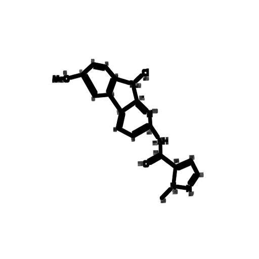 COc1ccc2c(c1)c1ccc(NC(=O)c3ccnn3C)nc1n2Cl